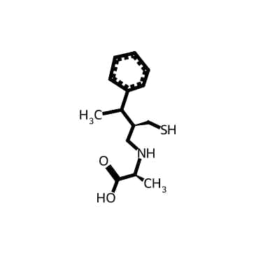 CC(c1ccccc1)[C@@H](CS)CN[C@@H](C)C(=O)O